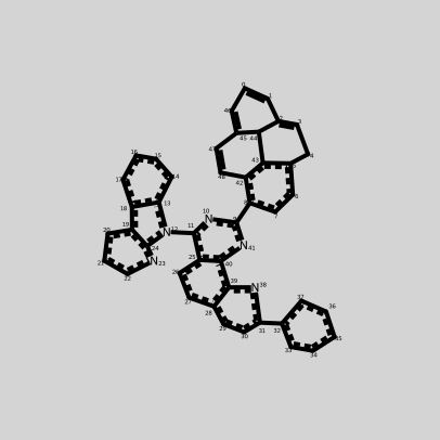 C1=CC2=CCc3ccc(-c4nc(-n5c6ccccc6c6cccnc65)c5ccc6ccc(-c7ccccc7)nc6c5n4)c4c3C2C(=C1)C=C4